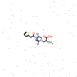 C[C@@H](CN1C[C@@H]2C[C@H]1CN2C(=O)Cc1cccs1)C(=O)O